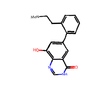 CNCCc1ccccc1-c1cc(O)c2nc[nH]c(=O)c2c1